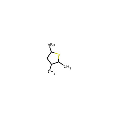 CCCCC1CC(C)C(C)S1